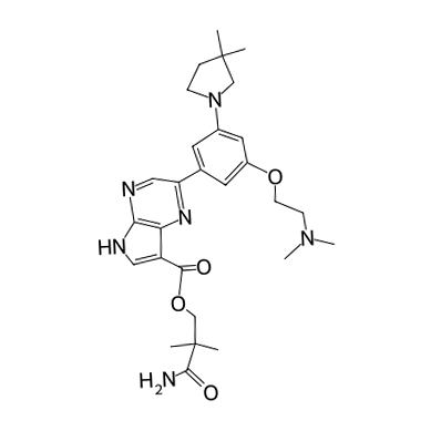 CN(C)CCOc1cc(-c2cnc3[nH]cc(C(=O)OCC(C)(C)C(N)=O)c3n2)cc(N2CCC(C)(C)C2)c1